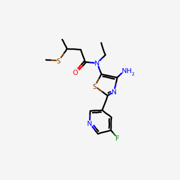 CCN(C(=O)CC(C)SC)c1sc(-c2cncc(F)c2)nc1N